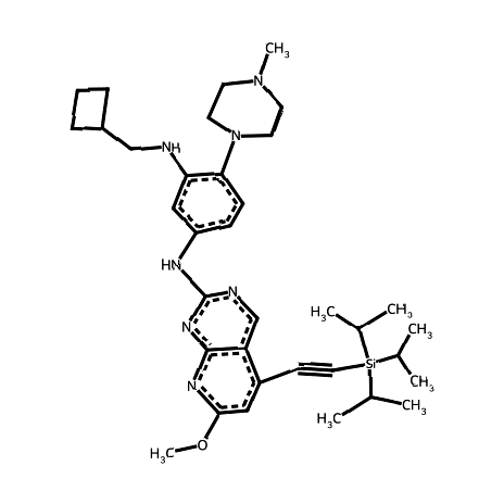 COc1cc(C#C[Si](C(C)C)(C(C)C)C(C)C)c2cnc(Nc3ccc(N4CCN(C)CC4)c(NCC4CCC4)c3)nc2n1